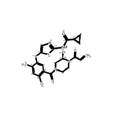 C=CC(=O)N1CCN(C(=O)c2cc(Sc3cnc(NC(=O)C4CC4)s3)c(C)cc2Cl)C[C@H]1CC